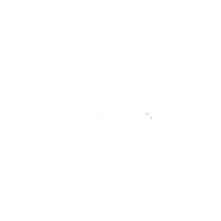 CCN(CC)CCOCO